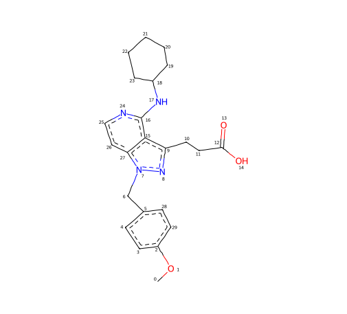 COc1ccc(Cn2nc(CCC(=O)O)c3c(NC4CCCCC4)nccc32)cc1